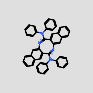 c1ccc(N(/C2=N/c3cc4ccccc4cc3/C(N(c3ccccc3)c3ccccc3)=N\c3cc4ccccc4cc32)c2ccccc2)cc1